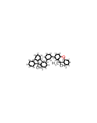 CC1(C)c2ccccc2Oc2ccc(-c3cccc(-c4cccc5c4-c4ccccc4C5(C)c4ccccc4)c3)cc21